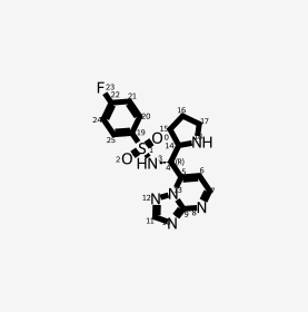 O=S(=O)(N[C@@H](c1ccnc2ncnn12)C1CCCN1)c1ccc(F)cc1